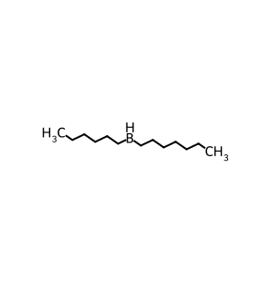 CCCCCCBCCCCCCC